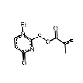 C=C(C)C(=O)OSc1nc(=O)ccn1CC